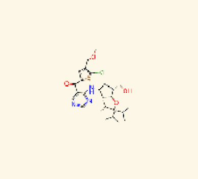 COCc1cc(C(=O)c2cncnc2N[C@@H]2C[C@H](CO)[C@@H](O[Si](C(C)C)(C(C)C)C(C)C)C2)sc1Cl